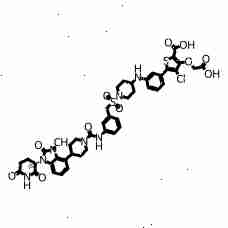 Cn1c(=O)n([C@H]2CCC(=O)NC2=O)c2cccc(C3CCN(C(=O)Nc4cccc(CS(=O)(=O)N5CCC(Nc6cccc(-c7sc(C(=O)O)c(OCC(=O)O)c7Cl)c6)CC5)c4)CC3)c21